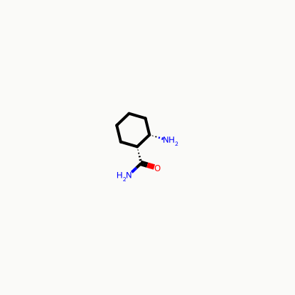 NC(=O)[C@@H]1CCCC[C@@H]1N